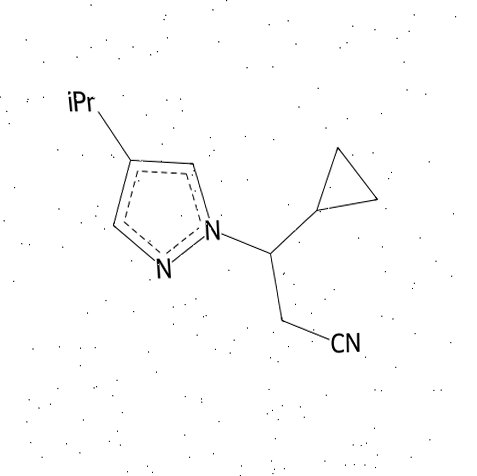 CC(C)c1cnn(C(CC#N)C2CC2)c1